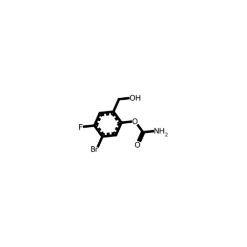 NC(=O)Oc1cc(Br)c(F)cc1CO